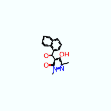 Cc1nn(C)c(=O)c(C(=O)c2cccc3ccccc23)c1O